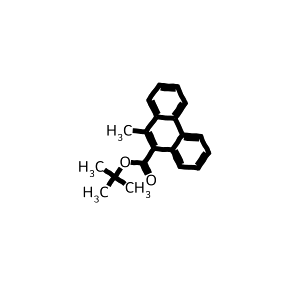 Cc1c(C(=O)OC(C)(C)C)c2ccccc2c2ccccc12